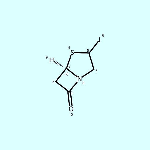 O=C1C[C@H]2SC(I)CN12